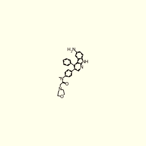 CN(C(=O)CN1CCOCC1)c1ccc(-c2cnc3[nH]c4ccc(N)cc4c3c2-c2ccccc2)cc1